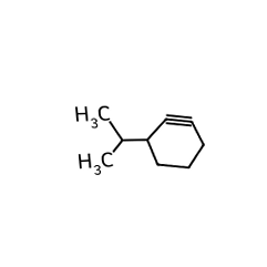 CC(C)C1C#CCCC1